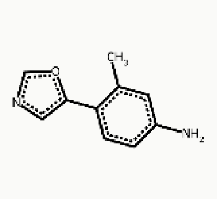 Cc1cc(N)ccc1-c1cnco1